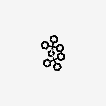 c1ccc(C(c2ccccc2)(c2ccccc2)n2cc[n+](C(c3ccccc3)(c3ccccc3)c3ccccc3)c2)cc1